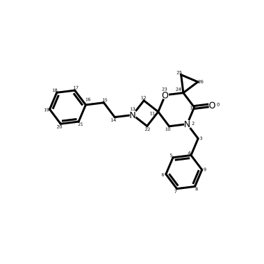 O=C1N(Cc2ccccc2)CC2(CN(CCc3ccccc3)C2)OC12CC2